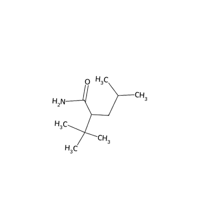 CC(C)CC(C(N)=O)C(C)(C)C